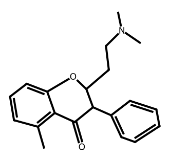 Cc1cccc2c1C(=O)C(c1ccccc1)C(CCN(C)C)O2